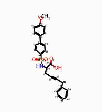 COc1ccc(-c2ccc(S(=O)(=O)NC(CC#CCc3ccccc3)C(=O)O)cc2)cc1